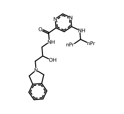 CCCC(CCC)Nc1cc(C(=O)NCC(O)CN2Cc3ccccc3C2)ncn1